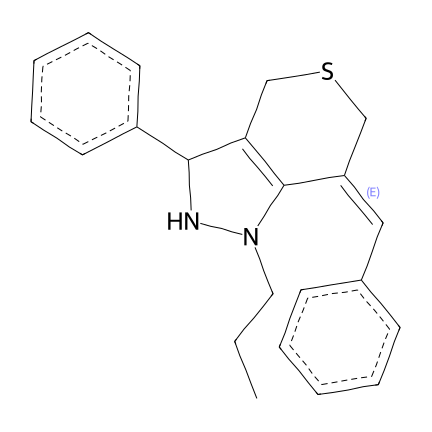 CCCN1NC(c2ccccc2)C2=C1/C(=C\c1ccccc1)CSC2